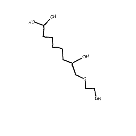 OCCOCC(O)CCCCCC(O)O